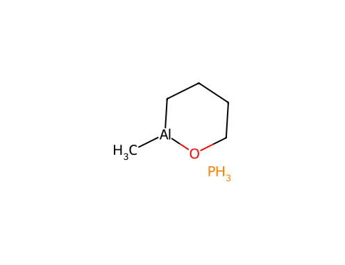 P.[CH3][Al]1[CH2]CCC[O]1